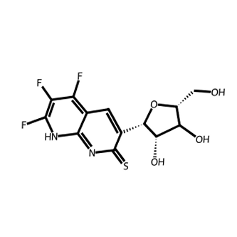 OC[C@H]1O[C@@H](c2cc3c(F)c(F)c(F)[nH]c-3nc2=S)[C@@H](O)C1O